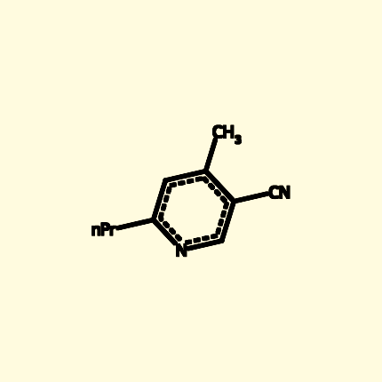 CCCc1cc(C)c(C#N)cn1